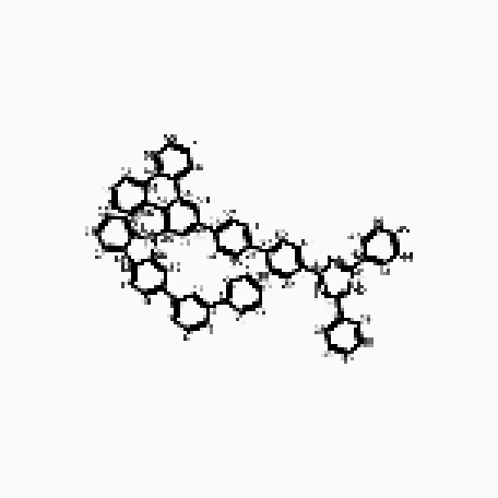 c1ccc(-c2cccc(-c3ccc4c5ccccc5n(-c5cc(-c6ccc(-c7ccc(-c8nc(-c9ccccc9)nc(-c9ccccc9)n8)cc7)cc6)cc6c7ccccc7c7ccccc7c56)c4c3)c2)cc1